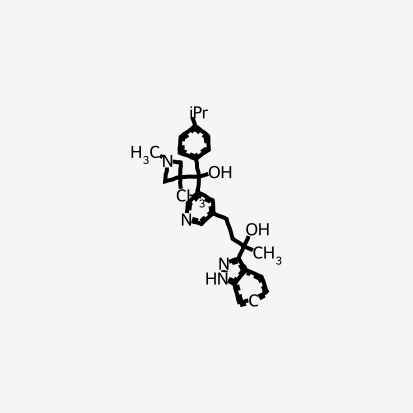 CC(C)c1ccc(C(O)(c2cncc(CCC(C)(O)c3n[nH]c4ccccc34)c2)C2(C)CN(C)C2)cc1